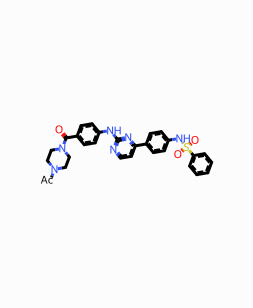 CC(=O)N1CCN(C(=O)c2ccc(Nc3nccc(-c4ccc(NS(=O)(=O)c5ccccc5)cc4)n3)cc2)CC1